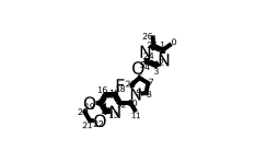 Cc1ncc(O[C@@H]2CCN(C(C)c3nc4c(cc3F)OCCO4)C2)nc1C